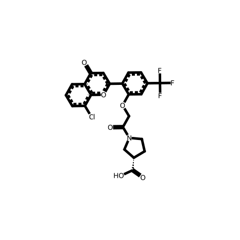 O=C(O)[C@H]1CCN(C(=O)COc2cc(C(F)(F)F)ccc2-c2cc(=O)c3cccc(Cl)c3o2)C1